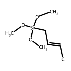 CO[Si](CC=CCl)(OC)OC